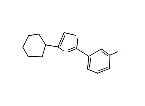 Clc1cccc(-c2nc(C3CCCCC3)cs2)c1